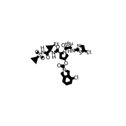 CCc1cnc(N[C@H](C(=O)N2C[C@H](OC(=O)N3Cc4cccc(Cl)c4C3)C[C@H]2C(=O)N[C@]2(C(=O)NS(=O)(=O)C3CC3)C[C@H]2CC)C(C)(C)C)s1